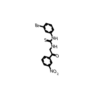 O=C(CNC(=S)Nc1cccc(Br)c1)c1cccc([N+](=O)[O-])c1